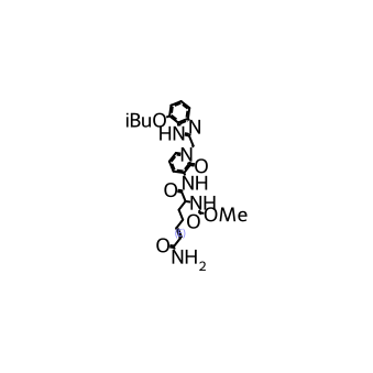 COC(=O)NC(CC/C=C/C(N)=O)C(=O)Nc1cccn(Cc2nc3cccc(OCC(C)C)c3[nH]2)c1=O